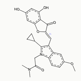 COc1ccc2c(c1)c(/C=C1\Oc3cc(O)cc(O)c3C1=O)c(C1CC1)n2CC(=O)N(C)C